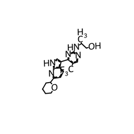 CC(CO)Nc1ncc(C(F)(F)F)c(-c2c[nH]c3nc(C4CCCCO4)ccc23)n1